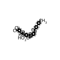 Cc1ccc(-c2ccc(C(=O)Oc3ccc(CN(CC(=O)O)C(=O)c4ccc(NC(=O)Cc5ccc(Cl)c(Cl)c5)cc4)cc3)cc2)cc1